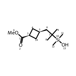 COC(=O)[C@H]1C[C@@H](CC(C)(C)[Si](C)(C)O)C1